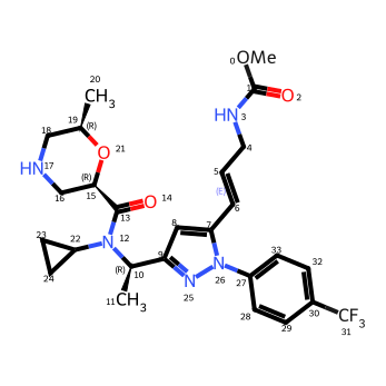 COC(=O)NC/C=C/c1cc([C@@H](C)N(C(=O)[C@H]2CNC[C@@H](C)O2)C2CC2)nn1-c1ccc(C(F)(F)F)cc1